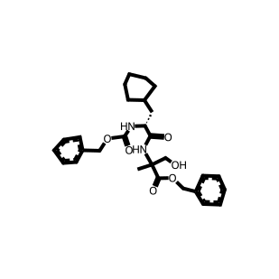 CC(CO)(NC(=O)[C@@H](CC1CCCCC1)NC(=O)OCc1ccccc1)C(=O)OCc1ccccc1